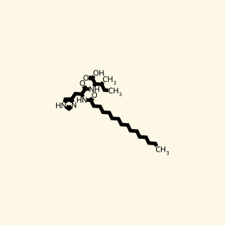 CCCCCCCCCCCCCCCC(=O)NC(Cc1c[nH]cn1)C(=O)NC(C(=O)O)C(C)CC